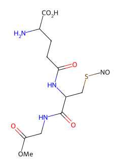 COC(=O)CNC(=O)C(CSN=O)NC(=O)CCC(N)C(=O)O